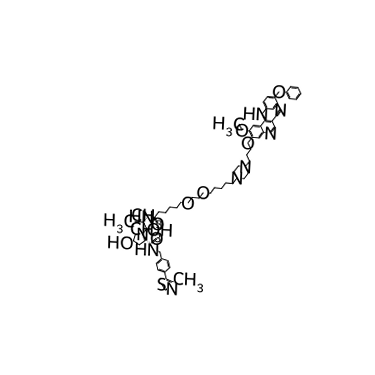 COc1cc2c(Nc3ccc(Oc4ccccc4)cc3)c(C#N)cnc2cc1OCCCN1CCN(CCCCCOCCOCCCCCC(=O)N[C@H](C(O)N2C[C@H](O)C[C@H]2C(=O)NCc2ccc(-c3scnc3C)cc2)C(C)(C)C)CC1